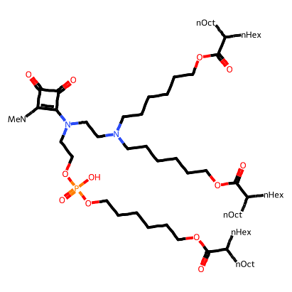 CCCCCCCCC(CCCCCC)C(=O)OCCCCCCOP(=O)(O)OCCN(CCN(CCCCCCOC(=O)C(CCCCCC)CCCCCCCC)CCCCCCOC(=O)C(CCCCCC)CCCCCCCC)c1c(NC)c(=O)c1=O